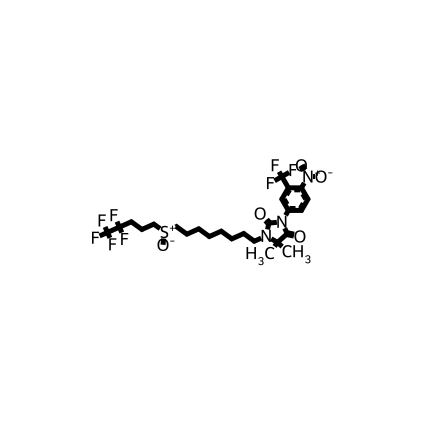 CC1(C)C(=O)N(c2ccc([N+](=O)[O-])c(C(F)(F)F)c2)C(=O)N1CCCCCCCC[S+]([O-])CCCC(F)(F)C(F)(F)F